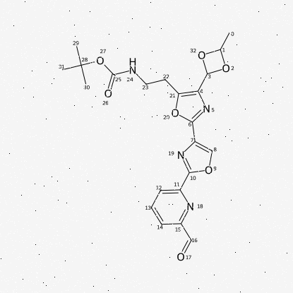 CC1OC(c2nc(-c3coc(-c4cccc(C=O)n4)n3)oc2CCNC(=O)OC(C)(C)C)O1